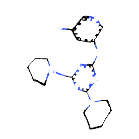 Nc1cncc(Nc2nc(N3CCCCC3)nc(N3CCCCC3)n2)c1